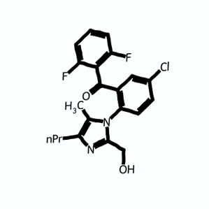 CCCc1nc(CO)n(-c2ccc(Cl)cc2C(=O)c2c(F)cccc2F)c1C